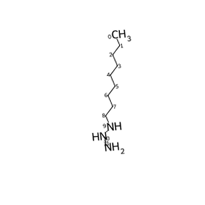 CCCCCCCCCNNN